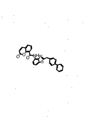 O=C(Nc1cccc2sc(Cc3ccc(-c4ccccc4)cc3)nc12)c1cccc2ccc(=O)oc12